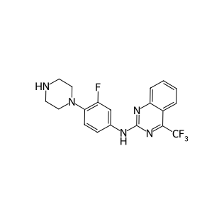 Fc1cc(Nc2nc(C(F)(F)F)c3ccccc3n2)ccc1N1CCNCC1